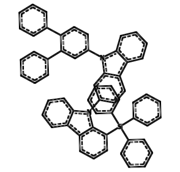 c1ccc(-c2ccc(-n3c4ccccc4c4ccc(-n5c6ccccc6c6cccc([Si](c7ccccc7)(c7ccccc7)c7ccccc7)c65)cc43)cc2-c2ccccc2)cc1